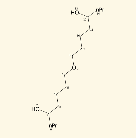 CCCC(O)CCCCOCCCCC(O)CCC